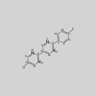 Cc1ccc(-c2ncc(-c3ncc(C)cn3)cn2)cc1